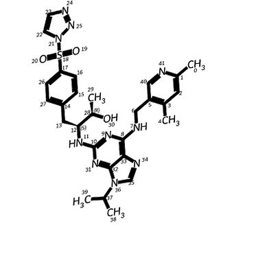 Cc1cc(C)c(CNc2nc(N[C@@H](Cc3ccc(S(=O)(=O)n4ccnn4)cc3)[C@@H](C)O)nc3c2ncn3C(C)C)cn1